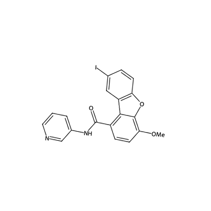 COc1ccc(C(=O)Nc2cccnc2)c2c1oc1ccc(I)cc12